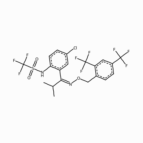 CC(C)C(=NOCc1ccc(C(F)(F)F)cc1C(F)(F)F)c1cc(Cl)ccc1NS(=O)(=O)C(F)(F)F